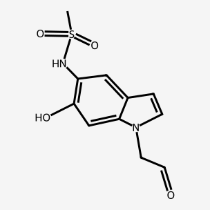 CS(=O)(=O)Nc1cc2ccn(CC=O)c2cc1O